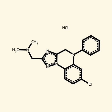 CN(C)Cc1nc2n(n1)-c1ccc(Cl)cc1N(c1ccccc1)C2.Cl